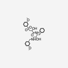 COc1cccc(CNC[C@H](O)[C@H](Cc2ccccc2)NC(=O)C(O)CS(=O)(=O)c2cccc(OC)c2)c1